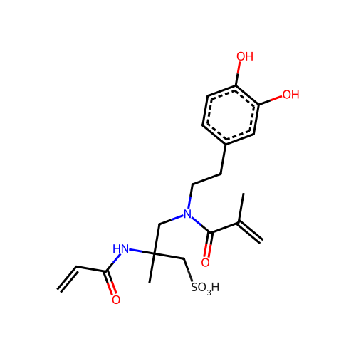 C=CC(=O)NC(C)(CN(CCc1ccc(O)c(O)c1)C(=O)C(=C)C)CS(=O)(=O)O